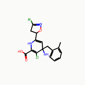 Cc1ccccc1CC1(N)C=C(C2CC(Br)=NO2)NC(C(=O)O)=C1Cl